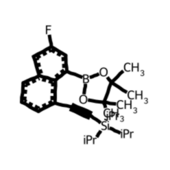 CC(C)[Si](C#Cc1cccc2cc(F)cc(B3OC(C)(C)C(C)(C)O3)c12)(C(C)C)C(C)C